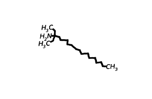 CCCCCCCCCCCCCCCC(N)(CC)CC